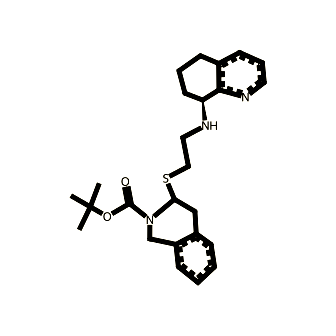 CC(C)(C)OC(=O)N1Cc2ccccc2CC1SCCN[C@H]1CCCc2cccnc21